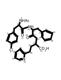 CC(=O)NC(Cc1ccc(Cl)cc1)C(=O)NC(Cc1ccccc1)C(=O)CC(CCc1ccccn1)C(=O)O